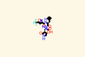 O=C(N[C@@H](CC12CC(C1)C2)C(=O)NN(C[C@@H]1CCNC1=O)C(=O)O)c1cc(C(F)(F)F)on1